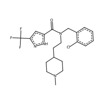 CN1CCC(CCN(Cc2ccccc2Cl)C(=O)c2cc(C(F)(F)F)n[nH]2)CC1